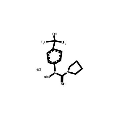 CCCCN(C(=N)N1CCCC1)c1ccc(C(O)(C(F)(F)F)C(F)(F)F)cc1.Cl